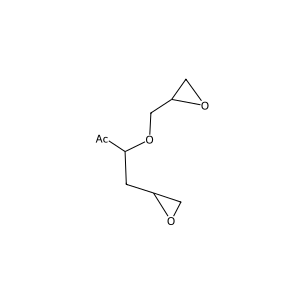 CC(=O)C(CC1CO1)OCC1CO1